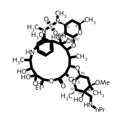 CCCNC[C@]1(O)[C@H](C)O[C@@H](OC2C(C)C(=O)OC(CC)C(C)(O)C(O)C(C)NCC(C)CC(C)(O)C(O[C@@H]3O[C@H](C)C[C@H](N(C)S(=O)(=O)N(C)c4ccccc4)[C@H]3O)C2C)C[C@@]1(C)OC